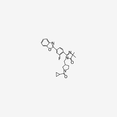 CC1(C)N=C(c2ccc(-c3nc4ccccc4o3)cc2F)N(CC2CCN(C(=O)C3CC3)C2)C1=O